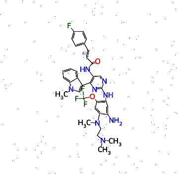 CN(C)CCN(C)c1cc(OC(F)(F)F)c(Nc2ncc(NC(=O)/C=C/c3ccc(F)cc3)c(-c3cn(C)c4ccccc34)n2)cc1N